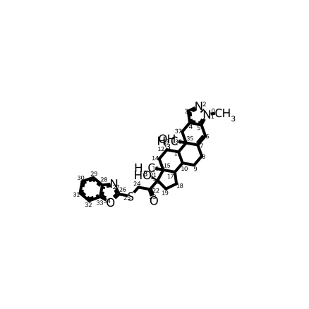 Cn1ncc2c1C=C1CCC3C([C@@H](O)CC4(C)C3CC[C@]4(O)C(=O)CSc3nc4ccccc4o3)C1(C)C2